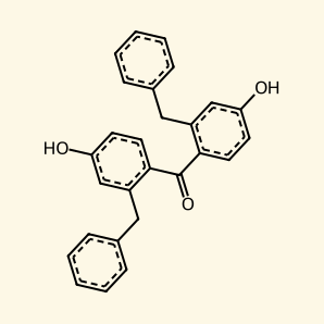 O=C(c1ccc(O)cc1Cc1ccccc1)c1ccc(O)cc1Cc1ccccc1